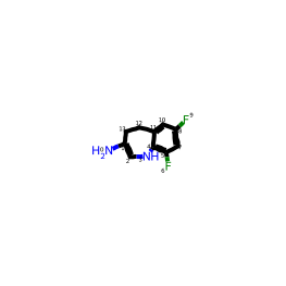 NC1=CNc2c(F)cc(F)cc2CC1